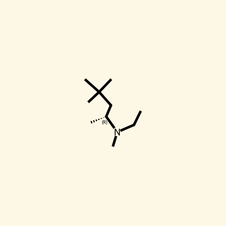 CCN(C)[C@H](C)CC(C)(C)C